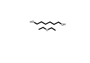 CCOCC.OCCCCCCO